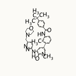 Cc1c(NC(=O)c2ccc(C(C)(C)C)cc2)cccc1-c1cc(Nc2ccc(CN3CCOCC3)nn2)c(=O)n(C)c1